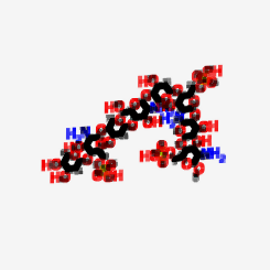 CO[C@H]1OC(COS(=O)(=O)O)[C@@H](O[C@H]2C[C@H](O)[C@H](O[C@H]3OC(COS(=O)(=O)O)[C@H](O[C@H]4C[C@H](O)[C@H](O[C@H]5OC(CO)[C@@H](O[C@H]6C[C@H](O)[C@H](O[C@@H]7OC(COS(=O)(=O)O)[C@H](O[C@H]8C[C@H](O)[C@H](O)CO8)[C@H](O)C7N)CO6)[C@H](O)C5N)CO4)[C@H](O)C3N)CO2)[C@H](O)C1N